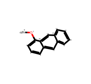 CC[CH]Oc1cccc2cc3ccccc3cc12